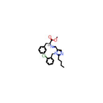 CCCCc1ncc(C=N[C@@H](Cc2ccccc2)C(=O)OC)n1Cc1ccccc1Cl